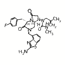 C=C(C)CN(C(=O)NC)N1CC(=O)N2[C@@H](Cc3ccc(F)cc3)C(=O)N(Cc3cccc4sc(N)nc34)C[C@@H]21